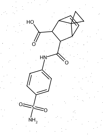 NS(=O)(=O)c1ccc(NC(=O)C2C(C(=O)O)C3C=CC2C32CC2)cc1